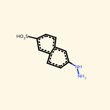 NNc1ccc2cc(S(=O)(=O)O)ccc2c1